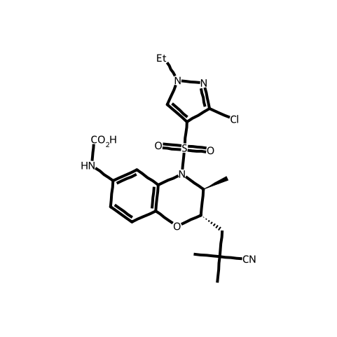 CCn1cc(S(=O)(=O)N2c3cc(NC(=O)O)ccc3O[C@@H](CC(C)(C)C#N)[C@@H]2C)c(Cl)n1